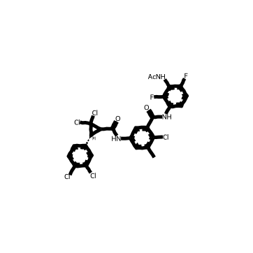 CC(=O)Nc1c(F)ccc(NC(=O)c2cc(NC(=O)C3[C@H](c4ccc(Cl)c(Cl)c4)C3(Cl)Cl)cc(C)c2Cl)c1F